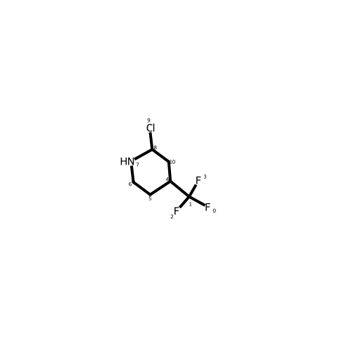 FC(F)(F)C1CCNC(Cl)C1